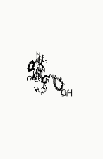 COc1cc(Nc2ncc(C(F)(F)F)c(Nc3ccccc3NC(C)=O)n2)cc(NC2CCC(O)CC2)n1